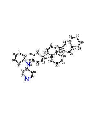 c1ccc(N(c2ccncc2)c2ccc(-c3ccc4c5c(cccc35)-c3cc5ccccc5cc3-4)cc2)cc1